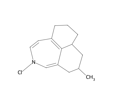 CC1CC2=CN(Cl)C=CC3=C2C(CCC3)C1